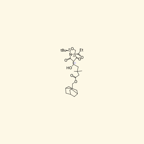 CCC(=O)[C@]12CO[C@H](C(C)(C)C)N1C(=O)/C(=C(\O)CC(C)(C)CC(=O)OCC13CC4CC(CC(C4)C1)C3)C2=O